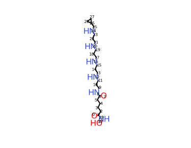 O=C(CCCCC(=O)NCCCNCCCNCCCNCCCNCC1CC1)NO